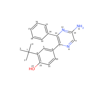 CC(C)(C)c1cc(-c2ncc(N)nc2-c2ccccc2)ccc1O